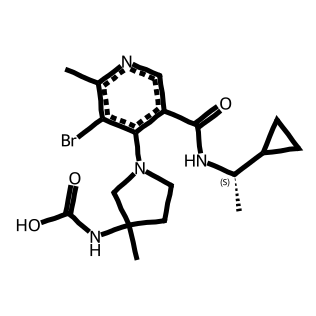 Cc1ncc(C(=O)N[C@@H](C)C2CC2)c(N2CCC(C)(NC(=O)O)C2)c1Br